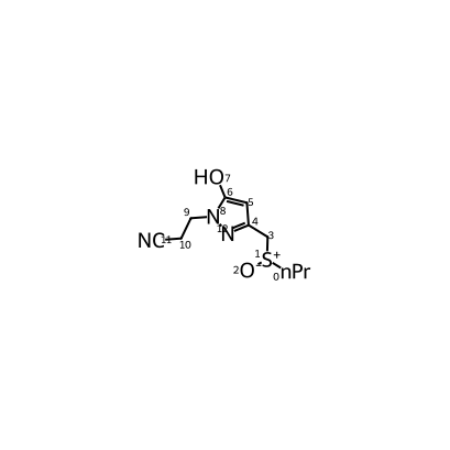 CCC[S+]([O-])Cc1cc(O)n(CCC#N)n1